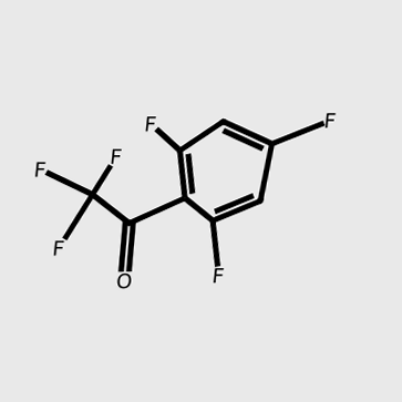 O=C(c1c(F)cc(F)cc1F)C(F)(F)F